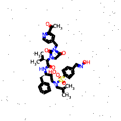 CC(=O)c1cc(CN2C(=O)CN([C@H](C(=O)N[C@@H](Cc3ccccc3)[C@@H](O)CN(CC(C)C)S(=O)(=O)c3ccc(C=NO)cc3)C(C)C)C2=O)ccn1